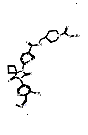 C/N=C\c1ncc(N2C(=O)C3(CCC3)N(c3ccc(C(=O)NCC4CCN(C(=O)OC(C)(C)C)CC4)cc3)C2=S)cc1C(F)(F)F